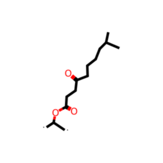 [CH2]C([CH2])OC(=O)CCC(=O)CCCCC(C)C